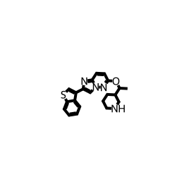 CC(Oc1ccc2nc(-c3csc4ccccc34)cn2n1)C1CCCNC1